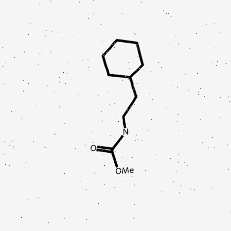 COC(=O)[N]CCC1CCCCC1